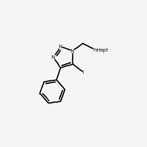 CCCCCCCCn1nnc(-c2ccccc2)c1I